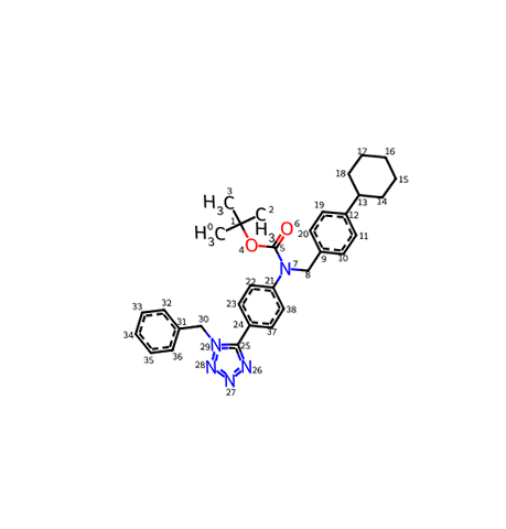 CC(C)(C)OC(=O)N(Cc1ccc(C2CCCCC2)cc1)c1ccc(-c2nnnn2Cc2ccccc2)cc1